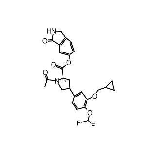 CC(=O)N1CC(c2ccc(OC(F)F)c(OCC3CC3)c2)C[C@@H]1C(=O)Oc1ccc2c(c1)C(=O)NC2